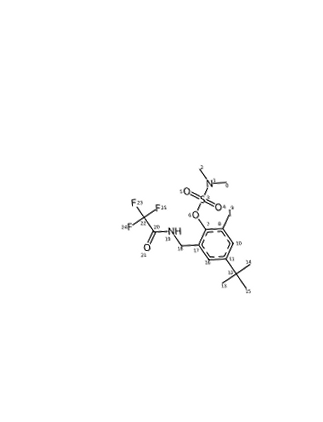 CN(C)S(=O)(=O)Oc1c(I)cc(C(C)(C)C)cc1CNC(=O)C(F)(F)F